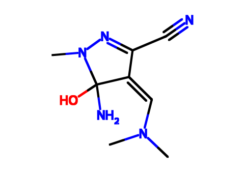 CN(C)C=C1C(C#N)=NN(C)C1(N)O